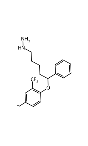 NNCCCCC(Oc1ccc(F)cc1C(F)(F)F)c1ccccc1